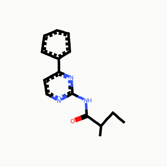 CCC(C)C(=O)Nc1nccc(-c2ccccc2)n1